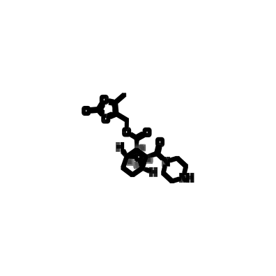 Cc1oc(=O)oc1COC(=O)[C@H]1[C@@H](C(=O)N2CCNCC2)[C@@H]2CC[C@H]1O2